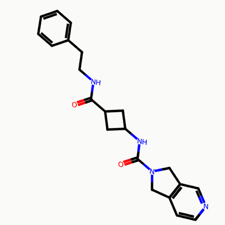 O=C(NCCc1ccccc1)C1CC(NC(=O)N2Cc3ccncc3C2)C1